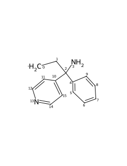 [CH2]CC(N)(c1ccccc1)c1ccncc1